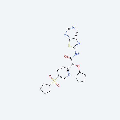 O=C(Nc1nc2cncnc2s1)C(OC1CCCC1)c1ccc(S(=O)(=O)C2CCCC2)cn1